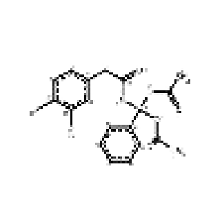 CC(=O)O[Si](OC(C)=O)(OC(=O)Cc1ccc(F)c(F)c1)c1ccccc1